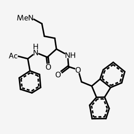 CNCCCC(NC(=O)OCC1c2ccccc2-c2ccccc21)C(=O)NC(C(C)=O)c1ccccc1